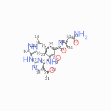 COc1c(Nc2nc(Nc3cnn(C(C)C)c3)ncc2C(C)=O)cccc1-c1nc(CC(N)=O)co1